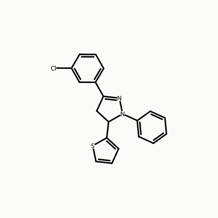 Clc1cccc(C2=NN(c3ccccc3)C(c3cccs3)C2)c1